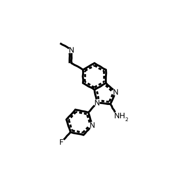 CN=Cc1ccc2nc(N)n(-c3ccc(F)cn3)c2c1